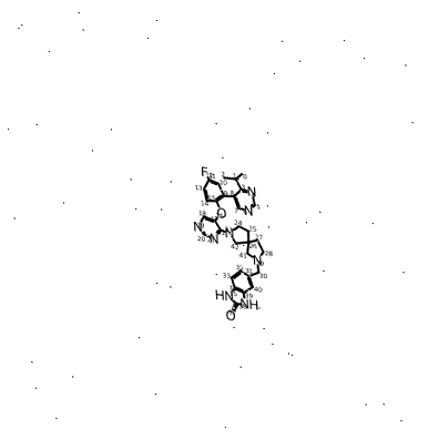 CC(C)c1ncncc1-c1cc(F)ccc1Oc1cncnc1N1CCC2(CCN(Cc3ccc4[nH]c(=O)[nH]c4c3)C2)C1